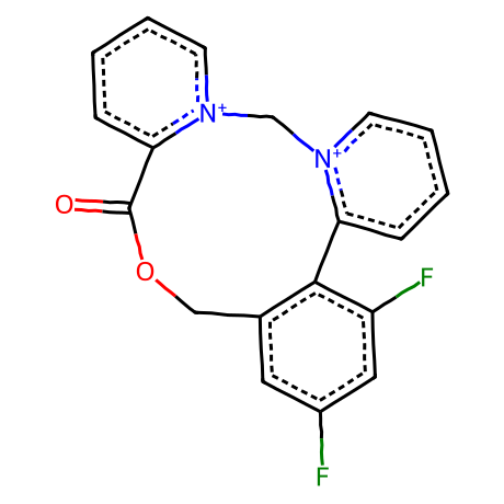 O=C1OCc2cc(F)cc(F)c2-c2cccc[n+]2C[n+]2ccccc21